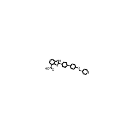 O=C(O)c1cccc2[nH]c(-c3ccc(-c4ccc(OCc5ccncc5)cc4)cc3)nc12